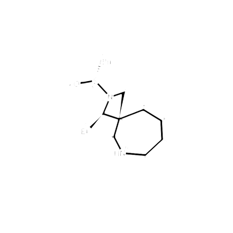 CC[C@H]1N([S@+]([O-])C(C)(C)C)C[C@]12CCCCNC2